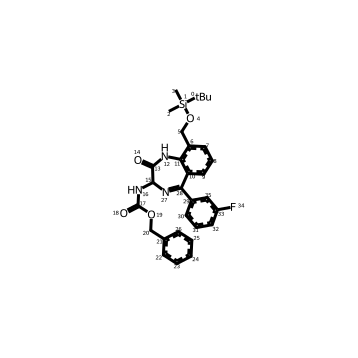 CC(C)(C)[Si](C)(C)OCc1cccc2c1NC(=O)C(NC(=O)OCc1ccccc1)N=C2c1cccc(F)c1